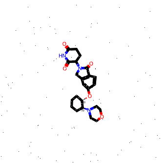 O=C1CCC(N2Cc3cc(O[C@H]4CCCC[C@@H]4N4CCOCC4)ccc3C2=O)C(=O)N1